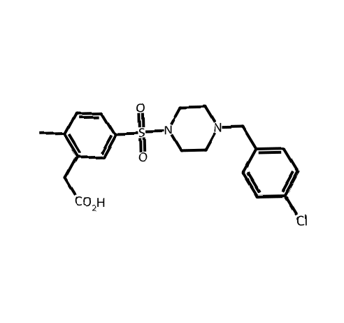 Cc1ccc(S(=O)(=O)N2CCN(Cc3ccc(Cl)cc3)CC2)cc1CC(=O)O